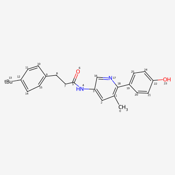 Cc1cc(NC(=O)CCc2ccc(C(C)(C)C)cc2)cnc1-c1ccc(O)cc1